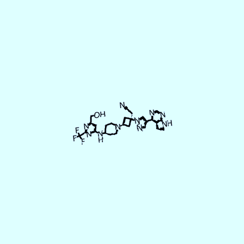 N#CC[C@]1(n2cc(-c3ncnc4[nH]ccc34)cn2)C[C@@H](N2CCC(Nc3cc(CO)nc(C(F)(F)F)n3)CC2)C1